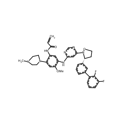 C=CC(=O)Nc1cc(Nc2cc(N3OCC[C@@H]3c3cccc(-c4cccc(F)c4F)c3)ncn2)c(OC)cc1N1CCN(C)CC1